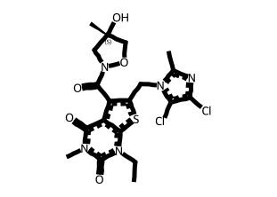 CCn1c(=O)n(C)c(=O)c2c(C(=O)N3C[C@](C)(O)CO3)c(Cn3c(C)nc(Cl)c3Cl)sc21